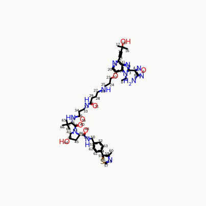 CCn1c(-c2nonc2N)nc2c(C#CC(C)(C)O)ncc(OCCCNCCCC(=O)NCCC(=O)N[C@H](C(=O)N3C[C@H](O)C[C@H]3C(=O)NCc3ccc(-c4scnc4C)cc3)C(C)(C)C)c21